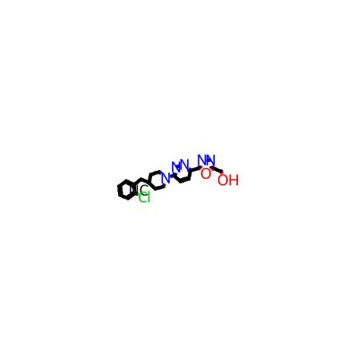 N#CC1(Cc2ccccc2Cl)CCN(c2ccc(-c3nnc(CO)o3)nn2)CC1